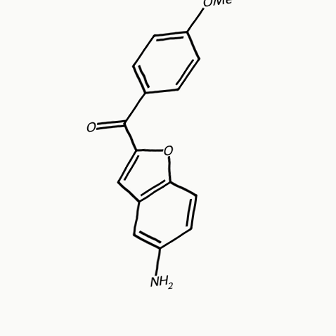 COc1ccc(C(=O)c2cc3cc(N)ccc3o2)cc1